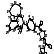 O=C(c1ccc(C2CC3(CCCCCCCC3)c3ccccc3N2)cc1)N1CCN(C(=O)C2CCO2)CC1